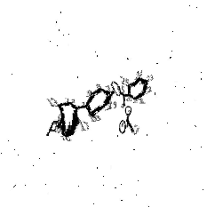 CC(=O)OCC(Oc1ccc(-c2ccc(F)cc2)cc1)c1ccccc1